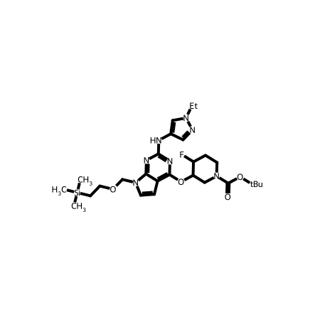 CCn1cc(Nc2nc(OC3CN(C(=O)OC(C)(C)C)CCC3F)c3ccn(COCC[Si](C)(C)C)c3n2)cn1